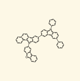 c1ccc(-c2ccc3c(c2)c2cc(-c4ccc5c(c4)c4ccc6ccccc6c4n5-c4ccc5oc6ccccc6c5c4)ccc2n3-c2ccccc2)cc1